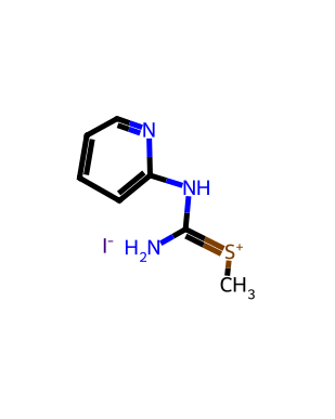 C/[S+]=C(\N)Nc1ccccn1.[I-]